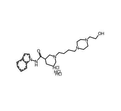 Cl.Cl.Cl.O=C(Nn1ccc2ccccc21)C1CCCN(CCCCN2CCN(CCO)CC2)C1